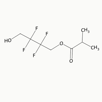 CC(C)C(=O)OCC(F)(F)C(F)(F)CO